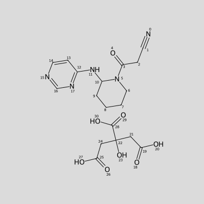 N#CCC(=O)N1CCCCC1Nc1ccncn1.O=C(O)CC(O)(CC(=O)O)C(=O)O